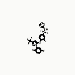 O=S(=O)(Nc1ncns1)c1ccc(Oc2cc(C(F)(F)F)nn2-c2cc(F)ccc2F)c(F)c1